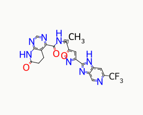 C[C@@H](NC(=O)c1ncnc2c1CCC(=O)N2)c1cc(-c2nc3cnc(C(F)(F)F)cc3[nH]2)no1